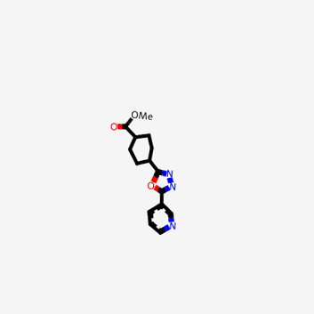 COC(=O)C1CCC(c2nnc(-c3cccnc3)o2)CC1